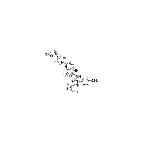 Cc1ccc(-n2nc(C3(C)CC3)cc2NC(=O)Nc2ccc(N3CCN(C(=O)OC(C)(C)C)CC3)nc2C)cc1